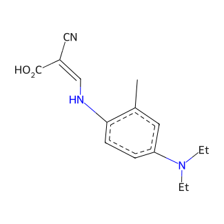 CCN(CC)c1ccc(NC=C(C#N)C(=O)O)c(C)c1